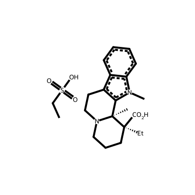 CCS(=O)(=O)O.CC[C@]1(C(=O)O)CCCN2CCc3c(n(C)c4ccccc34)[C@]21C